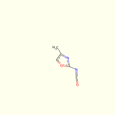 Cc1coc(N=C=O)n1